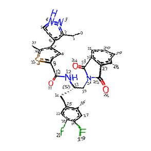 CCc1n[nH]cc1-c1cc(C(=O)N[C@@H](Cc2ccc(F)c(F)c2)CN2C(=O)c3ccccc3C2=O)sc1C